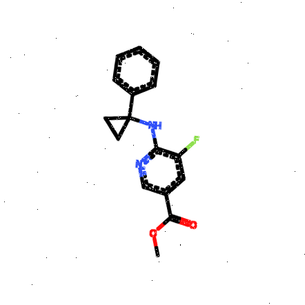 COC(=O)c1cnc(NC2(c3ccccc3)CC2)c(F)c1